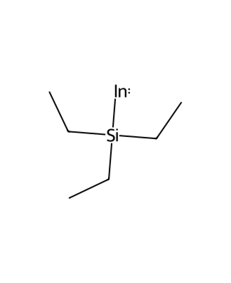 CC[Si]([In])(CC)CC